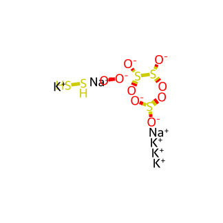 O=S([O-])S(=O)[O-].O=S([O-])[O-].SS.[K+].[K+].[K+].[K+].[Na+].[Na+].[O-][O-]